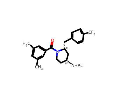 CC(=O)N[C@H]1CCN(C(=O)c2cc(C)cc(C)c2)[C@H](Cc2ccc(C(F)(F)F)cc2)C1